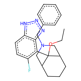 CCOC1(c2c(F)ccc3[nH]nnc23)C2CCCC1CN(Cc1ccccc1)C2